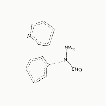 NN(C=O)c1ccccc1.c1ccncc1